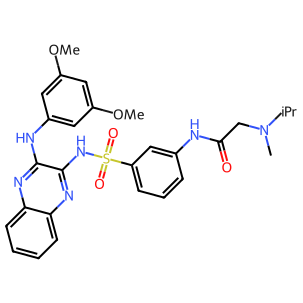 COc1cc(Nc2nc3ccccc3nc2NS(=O)(=O)c2cccc(NC(=O)CN(C)C(C)C)c2)cc(OC)c1